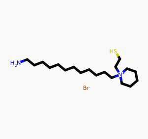 NCCCCCCCCCCCC[N+]1(CCS)CCCCC1.[Br-]